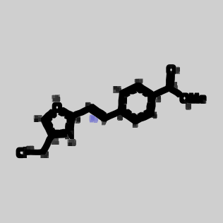 COC(=O)c1ccc(/C=C/c2nc(CCl)co2)cc1